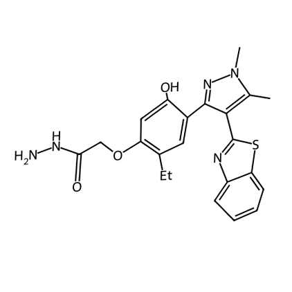 CCc1cc(-c2nn(C)c(C)c2-c2nc3ccccc3s2)c(O)cc1OCC(=O)NN